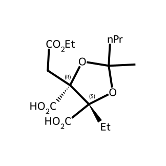 CCCC1(C)O[C@@](CC(=O)OCC)(C(=O)O)[C@@](CC)(C(=O)O)O1